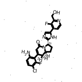 [2H]C1([2H])C(c2c(N)ccc(Cl)c2F)=CC(=O)N2[C@H](c3ncc(-c4ccnc(CO)c4F)[nH]3)CCC21[2H]